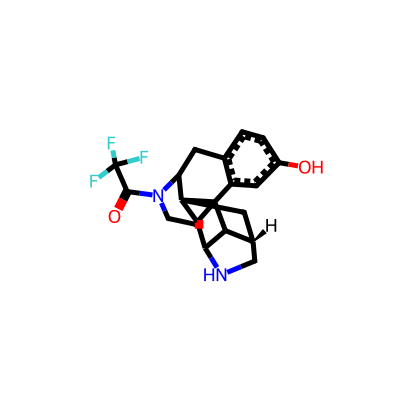 O=C(N1CCC23c4cc(O)ccc4CC1C21CCC2NC[C@@H](C1)C23)C(F)(F)F